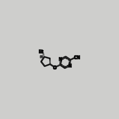 CC[C@H]1CCC(Oc2cnc(C#N)cn2)C1